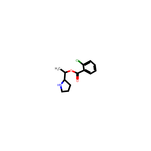 CC(OC(=O)c1ccccc1Cl)C1CCCN1